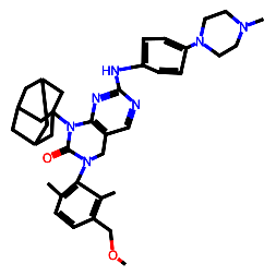 COCc1ccc(C)c(N2Cc3cnc(Nc4ccc(N5CCN(C)CC5)cc4)nc3N(C34CC5CC(CC(C5)C3)C4)C2=O)c1C